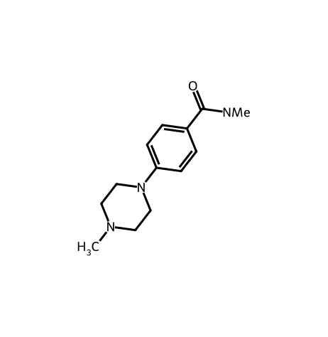 CNC(=O)c1ccc(N2CCN(C)CC2)cc1